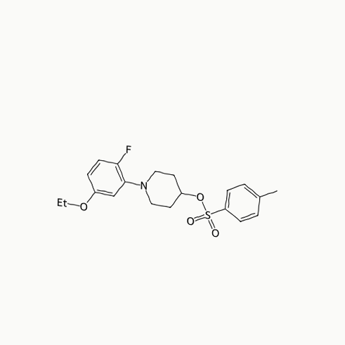 CCOc1ccc(F)c(N2CCC(OS(=O)(=O)c3ccc(C)cc3)CC2)c1